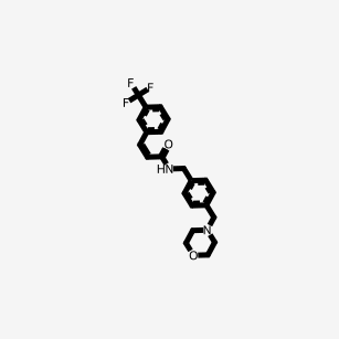 O=C(/C=C\c1cccc(C(F)(F)F)c1)NCc1ccc(CN2CCOCC2)cc1